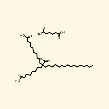 CCCCCCCCCCCCCCCCC(CCCCCCCCCC(=O)O)(CCCCCCCC(=O)O)C(=O)O.O=C(O)CCCCC(=O)O